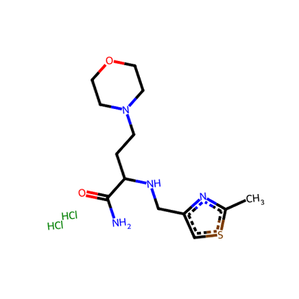 Cc1nc(CNC(CCN2CCOCC2)C(N)=O)cs1.Cl.Cl